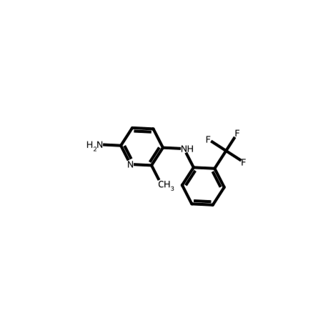 Cc1nc(N)ccc1Nc1ccccc1C(F)(F)F